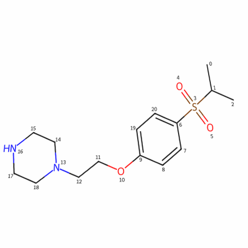 CC(C)S(=O)(=O)c1ccc(OCCN2CCNCC2)cc1